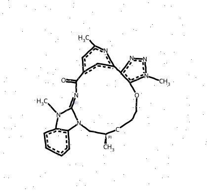 Cc1cc2cc(n1)-c1nnn(C)c1OCCC[C@@H](C)CN1/C(=N/C2=O)N(C)c2ccccc21